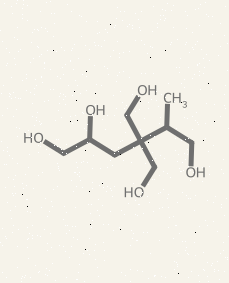 CC(CO)C(CO)(CO)CC(O)CO